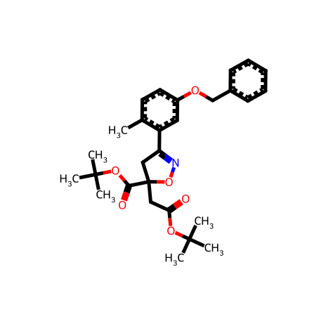 Cc1ccc(OCc2ccccc2)cc1C1=NOC(CC(=O)OC(C)(C)C)(C(=O)OC(C)(C)C)C1